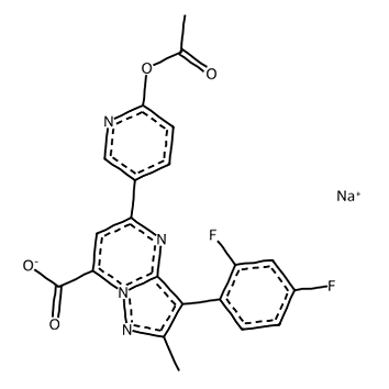 CC(=O)Oc1ccc(-c2cc(C(=O)[O-])n3nc(C)c(-c4ccc(F)cc4F)c3n2)cn1.[Na+]